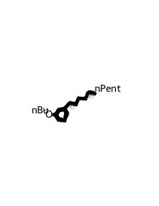 CCCCC/C=C/CC/C=C/c1cccc(OCCCC)c1